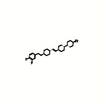 CC[C@H]1CC[C@H]([C@H]2CC[C@H](C=C[C@H]3CC[C@H](CCc4ccc(F)c(F)c4)CC3)CC2)CC1